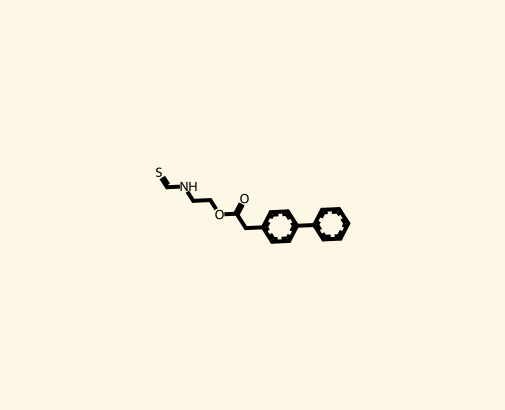 O=C(Cc1ccc(-c2ccccc2)cc1)OCCNC=S